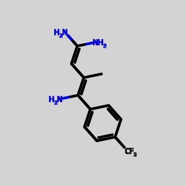 C/C(C=C(N)N)=C(/N)c1ccc(C(F)(F)F)cc1